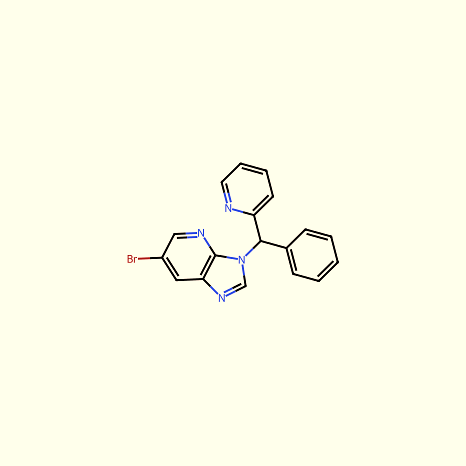 Brc1cnc2c(c1)ncn2C(c1ccccc1)c1ccccn1